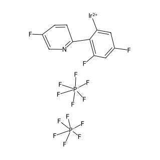 F[P-](F)(F)(F)(F)F.F[P-](F)(F)(F)(F)F.Fc1ccc(-c2c(F)cc(F)c[c]2[Ir+2])nc1